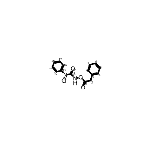 O=C(Cc1ccccc1)ONC(=O)N(Cl)c1ccccc1